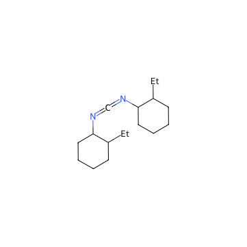 CCC1CCCCC1N=C=NC1CCCCC1CC